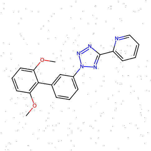 COc1cccc(OC)c1-c1cccc(-n2nnc(-c3ccccn3)n2)c1